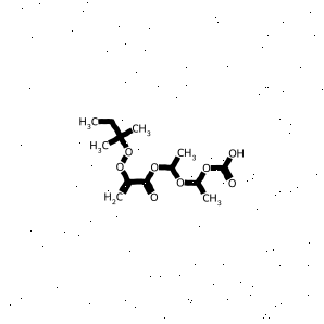 C=C(OOC(C)(C)CC)C(=O)OC(C)OC(C)OC(=O)O